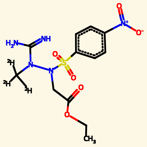 [2H]C([2H])([2H])N(C(=N)N)N(CC(=O)OCC)S(=O)(=O)c1ccc([N+](=O)[O-])cc1